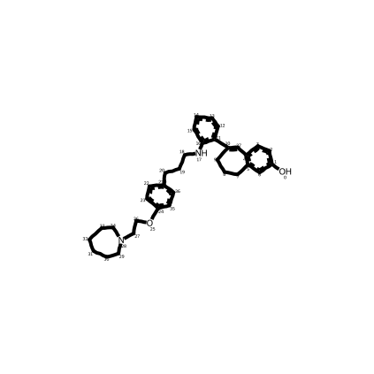 Oc1ccc2c(c1)CCCC(c1ccccc1NCCCc1ccc(OCCN3CCCCCC3)cc1)=C2